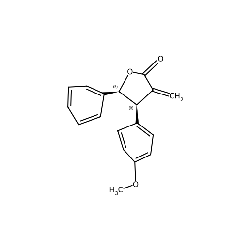 C=C1C(=O)O[C@H](c2ccccc2)[C@@H]1c1ccc(OC)cc1